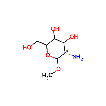 COC1OC(CO)C(O)C(O)[C@@H]1N